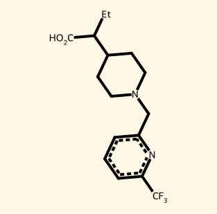 CCC(C(=O)O)C1CCN(Cc2cccc(C(F)(F)F)n2)CC1